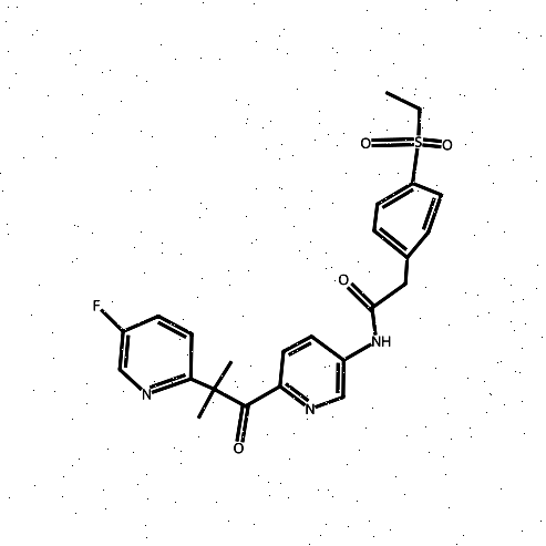 CCS(=O)(=O)c1ccc(CC(=O)Nc2ccc(C(=O)C(C)(C)c3ccc(F)cn3)nc2)cc1